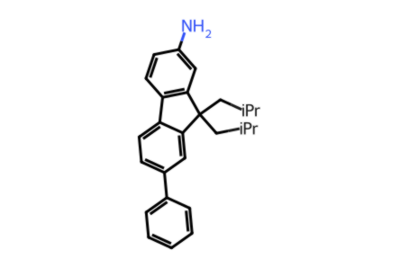 CC(C)CC1(CC(C)C)c2cc(N)ccc2-c2ccc(-c3ccccc3)cc21